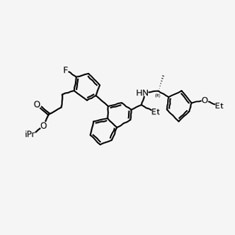 CCOc1cccc([C@@H](C)NC(CC)c2cc(-c3ccc(F)c(CCC(=O)OC(C)C)c3)c3ccccc3c2)c1